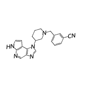 N#Cc1cccc(CN2CCCC(n3cnc4cnc5[nH]ccc5c43)C2)c1